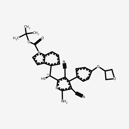 CC(C)(C)OC(=O)n1ccc2c([C@H](S)c3nc(N)c(C#N)c(-c4ccc(OC5COC5)cc4)c3C#N)cccc21